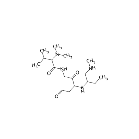 CCC(BC(CC=O)C(=O)CNC(=O)C(C(C)C)N(C)C)CNC